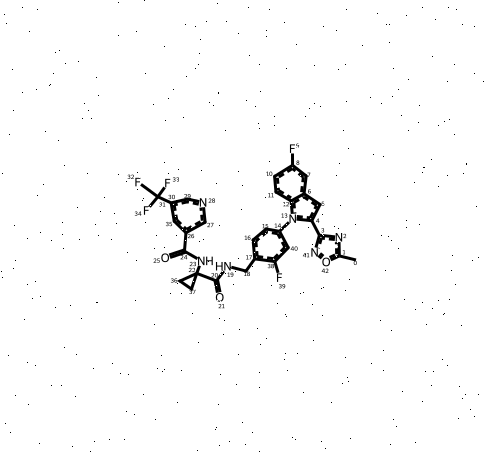 Cc1nc(-c2cc3cc(F)ccc3n2-c2ccc(CNC(=O)C3(NC(=O)c4cncc(C(F)(F)F)c4)CC3)c(F)c2)no1